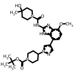 COc1ccc(-c2cnn(C3CCN(C(=O)OC(C)(C)C)CC3)c2)c2[nH]c(NC(=O)N3CCC(C)(O)CC3)nc12